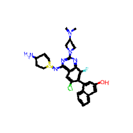 CN(C)C1CN(c2nc(N=S3CCC(N)CC3)c3cc(Cl)c(-c4cc(O)cc5ccccc45)c(F)c3n2)C1